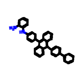 Nc1ccccc1Nc1ccc(-c2c3ccccc3c(-c3ccc(-c4ccccc4)cc3)c3ccccc23)cc1